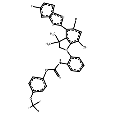 CC1(C)CN(c2ccccc2NC(=O)Nc2ccc(OC(F)(F)F)cc2)c2c(O)cc(F)c(-c3nc4ccc(F)cc4s3)c21